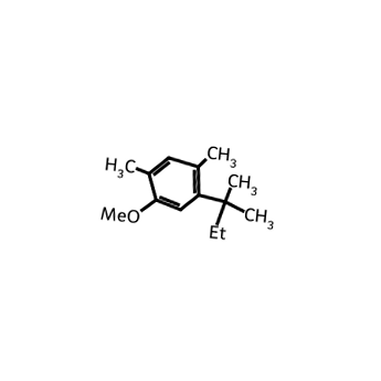 CCC(C)(C)c1cc(OC)c(C)cc1C